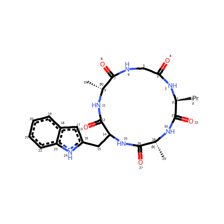 CC(C)[C@@H]1NC(=O)CNC(=O)[C@@H](C)NC(=O)C(Cc2cc3ccccc3[nH]2)NC(=O)[C@@H](C)NC1=O